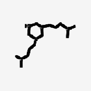 CN(C)CCCN1CNCN(CCCN(C)C)C1